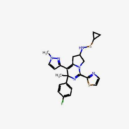 Cn1ccc(C2=C3CC(NSC4CC4)CN3C(c3nccs3)=NC2(C)c2ccc(F)cc2)n1